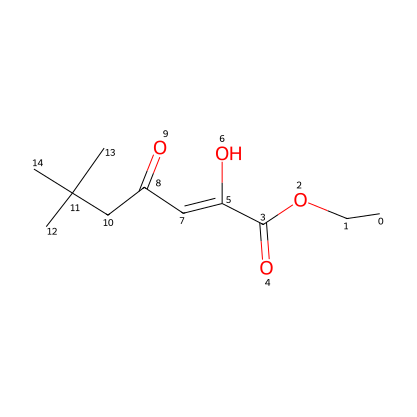 CCOC(=O)C(O)=CC(=O)CC(C)(C)C